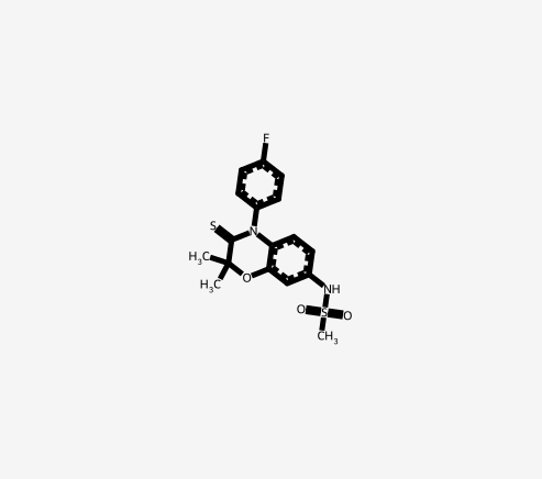 CC1(C)Oc2cc(NS(C)(=O)=O)ccc2N(c2ccc(F)cc2)C1=S